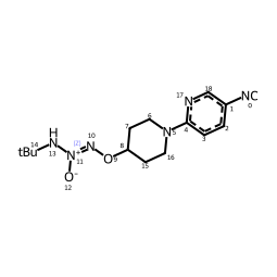 [C-]#[N+]c1ccc(N2CCC(O/N=[N+](\[O-])NC(C)(C)C)CC2)nc1